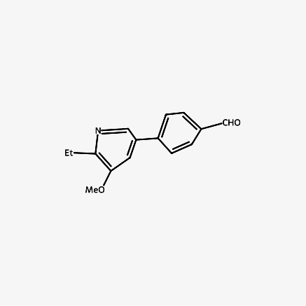 CCc1ncc(-c2ccc(C=O)cc2)cc1OC